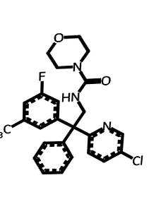 O=C(NCC(c1ccccc1)(c1cc(F)cc(C(F)(F)F)c1)c1ccc(Cl)cn1)N1CCOCC1